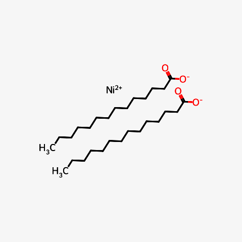 CCCCCCCCCCCCCC(=O)[O-].CCCCCCCCCCCCCC(=O)[O-].[Ni+2]